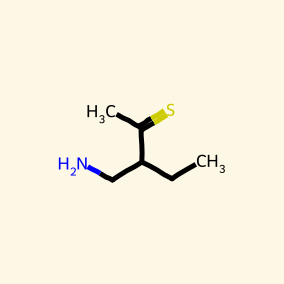 CCC(CN)C(C)=S